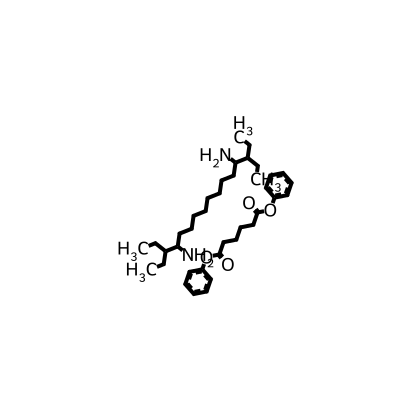 CCC(CC)C(N)CCCCCCCCC(N)C(CC)CC.O=C(CCCCC(=O)Oc1ccccc1)Oc1ccccc1